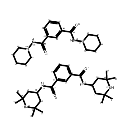 CC1(C)CC(NC(=O)c2cccc(C(=O)NC3CC(C)(C)NC(C)(C)C3)c2)CC(C)(C)N1.O=C(NN1CCCCC1)c1cccc(C(=O)NN2CCCCC2)c1